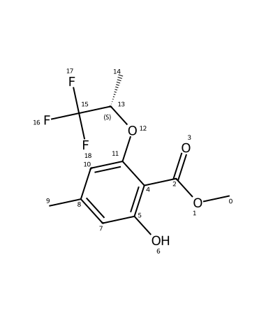 COC(=O)c1c(O)cc(C)cc1O[C@@H](C)C(F)(F)F